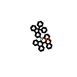 c1ccc(N(c2ccc3c(c2)C(c2ccccc2)(c2ccccc2)c2ccccc2-3)c2c(-c3cccc4ccccc34)c3ccccc3c3ccccc23)cc1